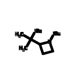 CC(C)(C)N1CCC1C(C)(C)C(C)(C)C